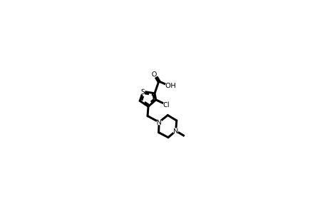 CN1CCN(Cc2csc(C(=O)O)c2Cl)CC1